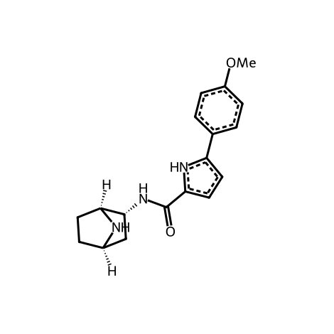 COc1ccc(-c2ccc(C(=O)N[C@@H]3C[C@H]4CC[C@@H]3N4)[nH]2)cc1